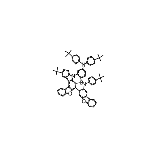 CC(C)(C)c1ccc(N2B3c4ccc(N(c5ccc(C(C)(C)C)cc5)c5ccc(C(C)(C)C)cc5)cc4-n4c5ccc(C(C)(C)C)cc5c5c6c(oc7ccccc76)c(c3c54)-c3cc4oc5ccccc5c4cc32)cc1